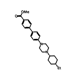 CC[C@H]1CC[C@@H](N2CCN(c3ccc(-c4ccc(C(=O)OC)cc4)cc3)CC2)CC1